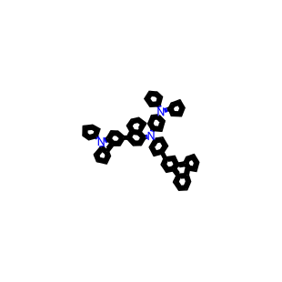 c1ccc(N(c2ccccc2)c2ccc(N(c3ccc(-c4ccc5c6ccccc6c6ccccc6c5c4)cc3)c3ccc(-c4ccc5c(c4)c4ccccc4n5-c4ccccc4)c4ccccc34)cc2)cc1